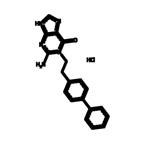 Cl.Nc1nc2[nH]cnc2c(=O)n1CCc1ccc(-c2ccccc2)cc1